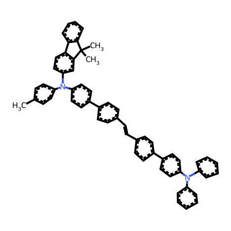 Cc1ccc(N(c2ccc(-c3ccc(/C=C/c4ccc(-c5ccc(N(c6ccccc6)c6ccccc6)cc5)cc4)cc3)cc2)c2ccc3c(c2)C(C)(C)c2ccccc2-3)cc1